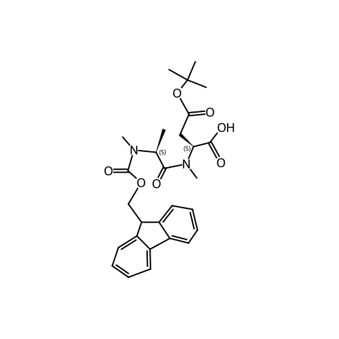 C[C@@H](C(=O)N(C)[C@@H](CC(=O)OC(C)(C)C)C(=O)O)N(C)C(=O)OCC1c2ccccc2-c2ccccc21